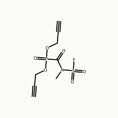 C#CCOP(=O)(OCC#C)C(=O)N(C)S(=O)(=O)F